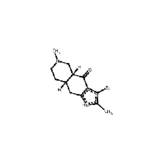 CCc1c(C)[nH]c2c1C(=O)[C@H]1CN(C)CC[C@H]1C2